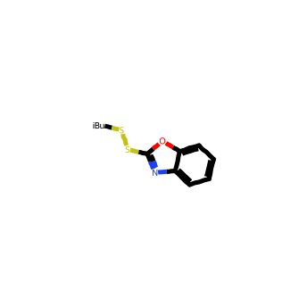 CCC(C)SSc1nc2ccccc2o1